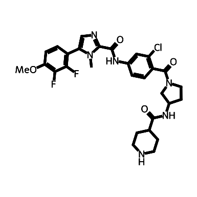 COc1ccc(-c2cnc(C(=O)Nc3ccc(C(=O)N4CCC(NC(=O)C5CCNCC5)C4)c(Cl)c3)n2C)c(F)c1F